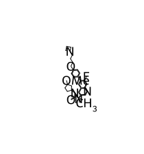 COC1CCC(n2c(=O)n(C)c3cnc4cc(F)c(-c5ccc(OCCCN6CCC6)cc5)cc4c32)C1